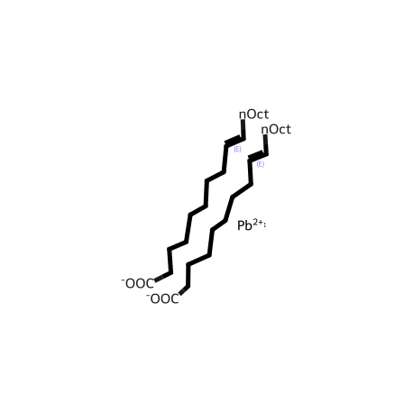 CCCCCCCC/C=C/CCCCCCCC(=O)[O-].CCCCCCCC/C=C/CCCCCCCC(=O)[O-].[Pb+2]